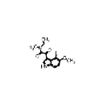 CCN(C)C(=O)C(=O)c1c[nH]c2ccc(OC)c(F)c12